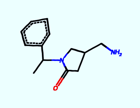 CC(c1ccccc1)N1CC(CN)CC1=O